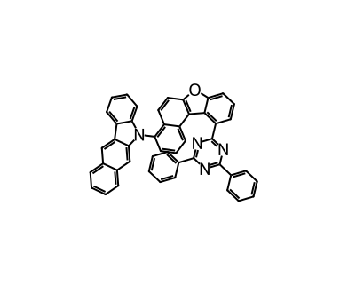 c1ccc(-c2nc(-c3ccccc3)nc(-c3cccc4oc5ccc6c(-n7c8ccccc8c8cc9ccccc9cc87)cccc6c5c34)n2)cc1